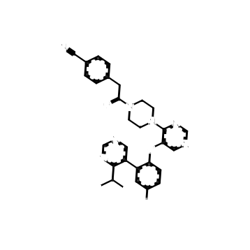 CC(C)c1ncncc1-c1cc(F)ccc1Oc1cncnc1N1CCN(C(=O)Cc2ccc(C#N)cc2)CC1